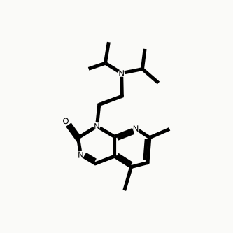 Cc1cc(C)c2cnc(=O)n(CCN(C(C)C)C(C)C)c2n1